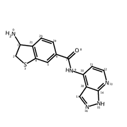 NC1CSc2cc(C(=O)Nc3ccnc4[nH]ncc34)ccc21